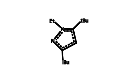 CCC(C)c1cc(C(C)(C)C)n(CC)n1